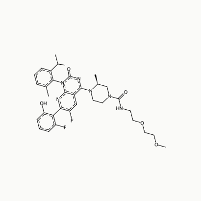 COCCOCCNC(=O)N1CCN(c2nc(=O)n(-c3c(C)cccc3C(C)C)c3nc(-c4c(O)cccc4F)c(F)cc23)[C@@H](C)C1